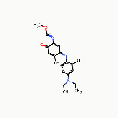 CCN(CC)c1ccc(N=C2C=C(/N=C/OC)C(=O)C=C2C)c(C)c1